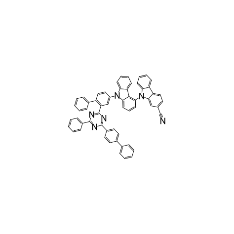 N#Cc1ccc2c3ccccc3n(-c3cccc4c3c3ccccc3n4-c3ccc(-c4ccccc4)c(-c4nc(-c5ccccc5)nc(-c5ccc(-c6ccccc6)cc5)n4)c3)c2c1